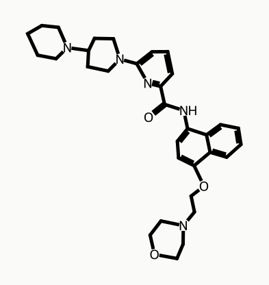 O=C(Nc1ccc(OCCN2CCOCC2)c2ccccc12)c1cccc(N2CCC(N3CCCCC3)CC2)n1